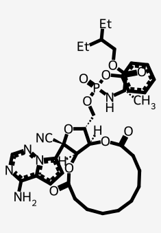 CCC(CC)COC(=O)[C@H](C)NP(=O)(OC[C@H]1O[C@@](C#N)(c2ccc3c(N)ncnn23)[C@@H]2OC(=O)CCCCCCCCC(=O)O[C@@H]21)Oc1ccccc1